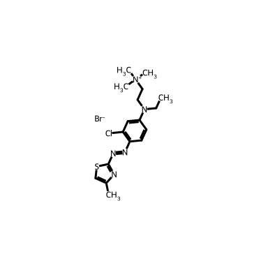 CCN(CC[N+](C)(C)C)c1ccc(/N=N/c2nc(C)cs2)c(Cl)c1.[Br-]